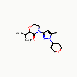 CC(=O)OC(C(=O)O)C1OCCN(c2cc(C)n(C3CCOCC3)n2)C1=O